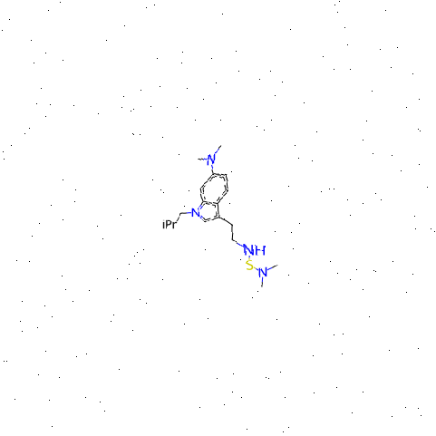 CC(C)Cn1cc(CCNSN(C)C)c2ccc(N(C)C)cc21